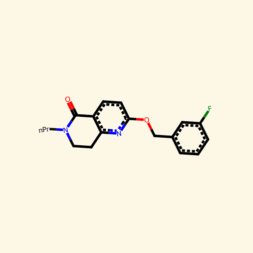 CCCN1CCc2nc(OCc3cccc(F)c3)ccc2C1=O